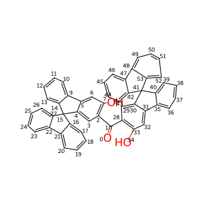 O=C(c1cc2c(cc1O)-c1ccccc1C21c2ccccc2-c2ccccc21)c1cc2c(cc1O)-c1ccccc1C21c2ccccc2-c2ccccc21